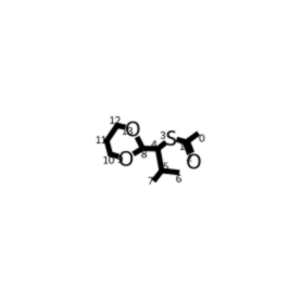 CC(=O)SC(C(C)C)C1OCCCO1